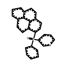 O=P(c1ccccc1)(c1cccnc1)c1ccc2ccc3cccc4ccc1c2c34